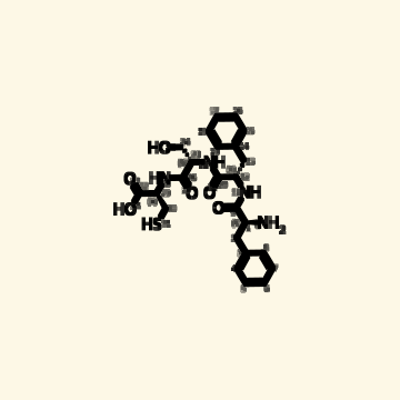 N[C@@H](Cc1ccccc1)C(=O)N[C@@H](Cc1ccccc1)C(=O)N[C@@H](CO)C(=O)N[C@@H](CS)C(=O)O